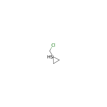 ClC[SiH]1CC1